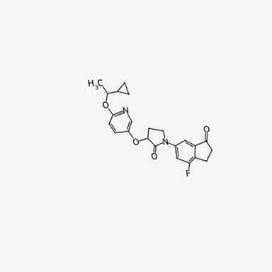 CC(Oc1ccc(OC2CCN(c3cc(F)c4c(c3)C(=O)CC4)C2=O)cn1)C1CC1